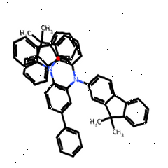 CC1(C)c2ccccc2-c2ccc(N(c3cc(-c4ccccc4)ccc3-n3c4ccccc4c4ccccc43)c3cccc4c3-c3ccccc3C4(C)C)cc21